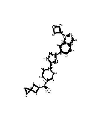 O=C(C1CC2(CC2)C1)N1CCN(c2nnc(-c3ccc4cnn(C5COC5)c4c3)o2)CC1